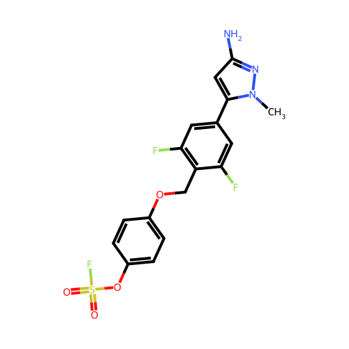 Cn1nc(N)cc1-c1cc(F)c(COc2ccc(OS(=O)(=O)F)cc2)c(F)c1